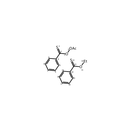 CC(=O)OOC(=S)c1ccccc1.CCOC(=S)c1ccccc1